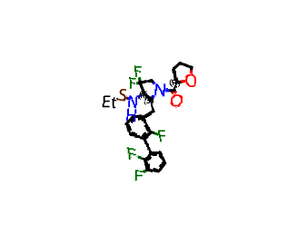 CCSN[C@@H]1[C@H](Cc2cccc(-c3cccc(F)c3F)c2F)N(C(=O)[C@H]2CCCO2)CC1(F)F